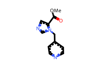 COC(=O)c1cncn1Cc1ccncc1